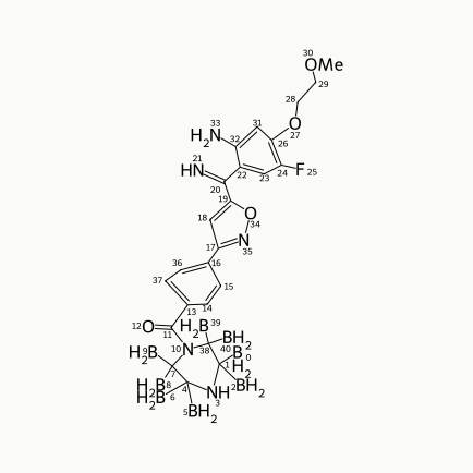 BC1(B)NC(B)(B)C(B)(B)N(C(=O)c2ccc(-c3cc(C(=N)c4cc(F)c(OCCOC)cc4N)on3)cc2)C1(B)B